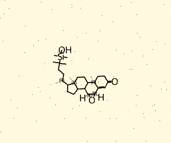 C[C@H](CCC(C)(C)[Si](C)(C)O)C1CCC2C3C(CC[C@@]21C)[C@@]1(C)CCC(=O)C=C1[C@H]1O[C@@H]31